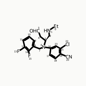 CCNC[C@H](CC=O)N(Cc1cccc(F)c1F)c1ccc(C#N)c(Cl)c1